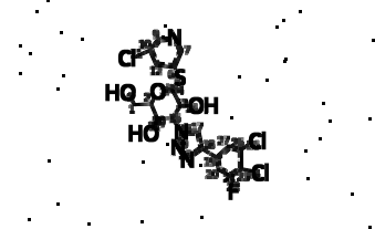 OCC1O[C@H](Sc2cncc(Cl)c2)C(O)C(n2cc(-c3cc(F)c(Cl)c(Cl)c3)nn2)[C@H]1O